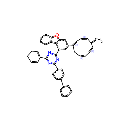 C=C1/C=C\C=C/C/C(c2cc(-c3nc(C4=CCCC=C4)nc(-c4ccc(-c5ccccc5)cc4)n3)c3c(c2)oc2ccccc23)=C\C=C/1